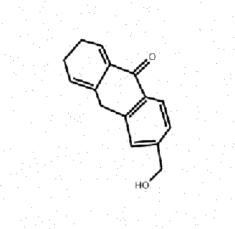 O=C1C2=CCCC=C2Cc2cc(CO)ccc21